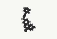 Cc1ccc([N+](=O)[O-])c(N2CCC(CC#Cc3ccccc3)CC2)n1